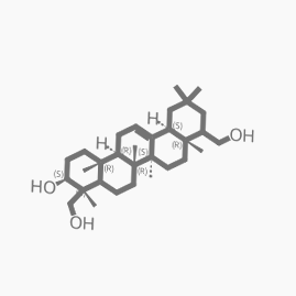 CC1(C)CC(CO)[C@]2(C)CC[C@]3(C)C(=CC[C@@H]4[C@@]5(C)CC[C@H](O)[C@@](C)(CO)C5CC[C@]43C)[C@H]2C1